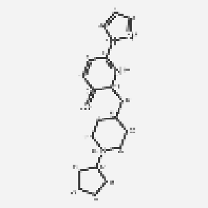 O=C1C=CC(n2cccn2)=NC1CC1CCN(C2CCCC2)CC1